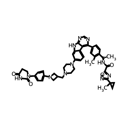 Cc1cc(-c2ncnc3[nH]c4cc(N5CCN(CC6CN(c7ccc(N8CCC(=O)NC8=O)cc7)C6)CC5)ccc4c23)ccc1[C@@H](C)NC(=O)c1nc(C2(C)CC2)no1